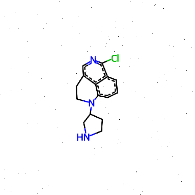 Clc1ncc2c3c(cccc13)N(C1CCNC1)CC2